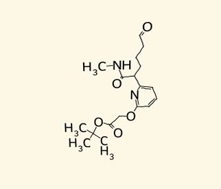 CNC(=O)C(CCCC=O)c1cccc(OCC(=O)OC(C)(C)C)n1